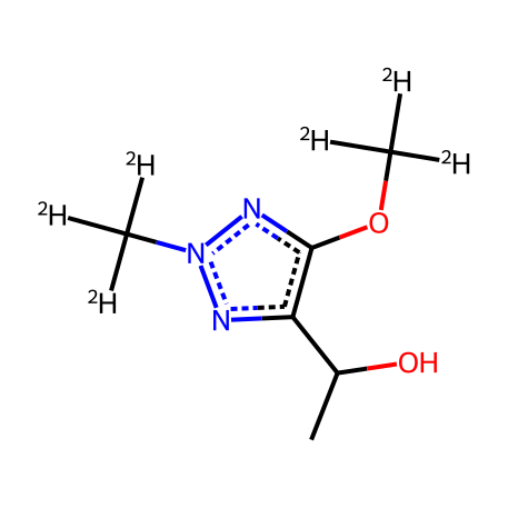 [2H]C([2H])([2H])Oc1nn(C([2H])([2H])[2H])nc1C(C)O